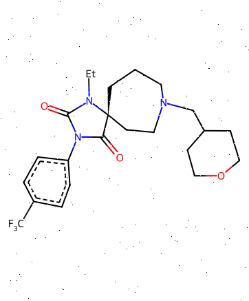 CCN1C(=O)N(c2ccc(C(F)(F)F)cc2)C(=O)[C@]12CCCN(CC1CCOCC1)CC2